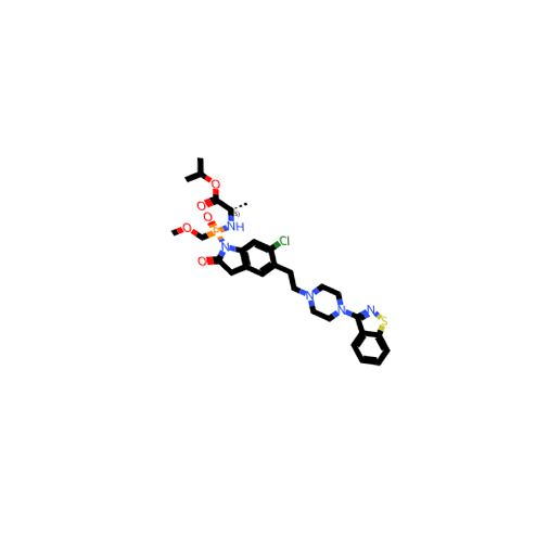 COCP(=O)(N[C@@H](C)C(=O)OC(C)C)N1C(=O)Cc2cc(CCN3CCN(c4nsc5ccccc45)CC3)c(Cl)cc21